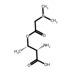 C[C@H](OC(=O)CN(C)C)[C@H](N)C(=O)O